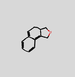 C1=c2ccccc2=C2COCC2C1